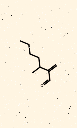 C=C([C]=O)C(C)CCCC